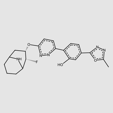 Cc1nnc(-c2ccc(-c3ccc(O[C@H]4CC5CCCC(N5)[C@H]4F)nn3)c(O)c2)o1